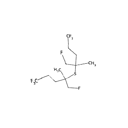 CC(CF)(CCC(F)(F)F)SC(C)(CF)CCC(F)(F)F